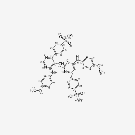 CCCS(=O)(=O)c1ccc(-c2cc(Nc3ccc(OC(F)(F)F)cc3)ncn2)cc1.CCCS(=O)(=O)c1ccc(-c2ncnc(Nc3ccc(OC(F)(F)F)cc3)c2C)cc1